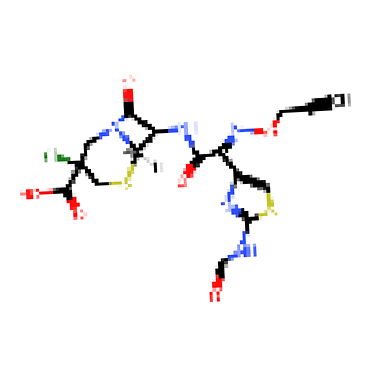 C#CCON=C(C(=O)NC1C(=O)N2CC(Cl)(C(=O)O)CS[C@H]12)c1csc(NC=O)n1